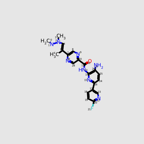 C=NN(C)/C=C(\C)c1cnc(C(=O)Nc2nc(-c3ccc(F)nc3)ccc2N)cn1